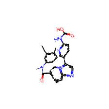 Cc1ccc(N(C)C(=O)c2ccc3ncc(-c4ccc(NC(=O)O)nc4)n3c2)cc1C